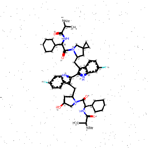 CNC(C)C(=O)NC(C(=O)N1CC(O)CC1Cc1c(-c2[nH]c3cc(F)ccc3c2CC2CC3(CC3)CN2C(=O)C(NC(=O)C(C)NC)C2CCCCC2)[nH]c2cc(F)ccc12)C1CCCCC1